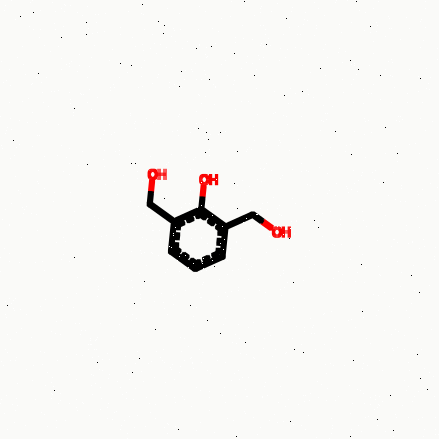 OCc1cccc(CO)c1O